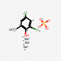 O=P([O-])([O-])[O-].O=S(=O)(O)c1cc(Cl)cc(Cl)c1O.[Na+].[Na+].[Na+]